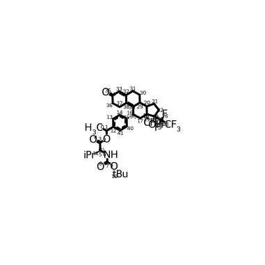 CC(OC(=O)[C@@H](NC(=O)OC(C)(C)C)C(C)C)c1ccc([C@H]2C[C@@]3(C)C(CC[C@@]3(O)C(F)(F)C(F)(F)F)C3CCC4=CC(=O)CCC4=C32)cc1